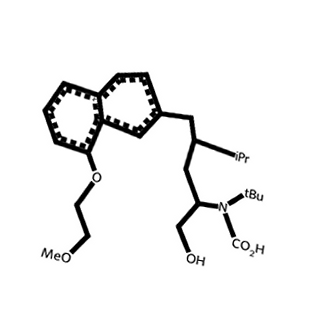 COCCOc1cccc2ccc(CC(CC(CO)N(C(=O)O)C(C)(C)C)C(C)C)cc12